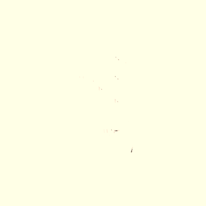 C[C@@H]1OCC2(CCN(c3nc(N)cc(=O)n3C)CC2)[C@@H]1N